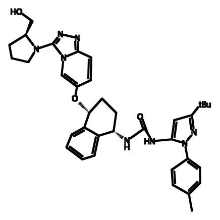 Cc1ccc(-n2nc(C(C)(C)C)cc2NC(=O)N[C@H]2CC[C@@H](Oc3ccc4nnc(N5CCC[C@H]5CO)n4c3)c3ccccc32)cc1